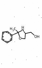 CC1(c2ccccc2)NC(CO)CO1